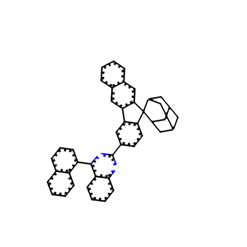 c1ccc2cc3c(cc2c1)-c1cc(-c2nc(-c4cccc5ccccc45)c4ccccc4n2)ccc1C31C2CC3CC(C2)CC1C3